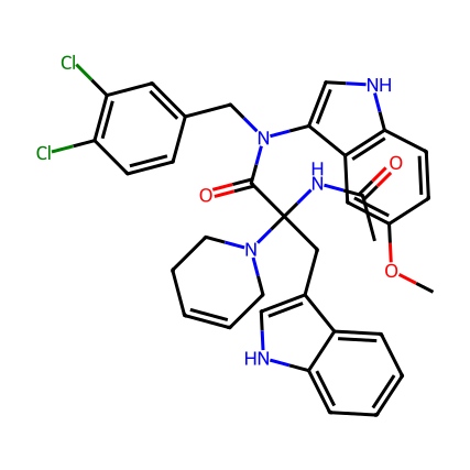 COc1ccc2[nH]cc(N(Cc3ccc(Cl)c(Cl)c3)C(=O)C(Cc3c[nH]c4ccccc34)(NC(C)=O)N3CC=CCC3)c2c1